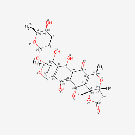 CC1OC2CC(O[C@H]3CC[C@H](O)[C@H](C)O3)C1(O)c1c(O)c3c(c(O)c12)C(=O)C1=C(C3=O)[C@@H](C)O[C@@H]2CC(=O)O[C@H]12